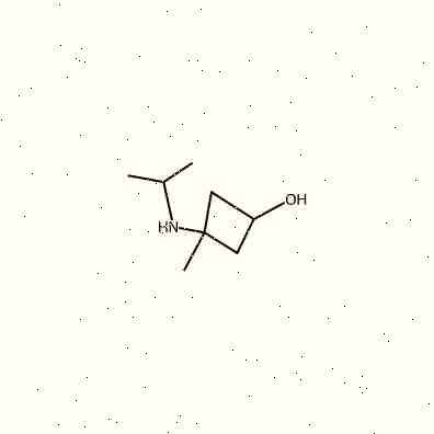 CC(C)NC1(C)CC(O)C1